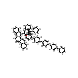 c1ccc(-c2ccc(-c3ccc(-c4ccc(-c5nc(-c6ccccc6)nc(-n6c7ccccc7c7ccc8c9ccccc9n(-c9ccc(-c%10ccccc%10)cc9)c8c76)n5)cc4)cc3)cc2)cc1